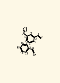 C=Cc1cccc(CCl)c1.C=Cc1ccccc1